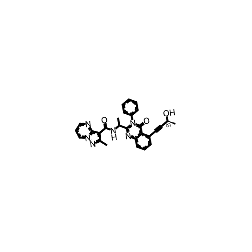 Cc1nn2cccnc2c1C(=O)NC(C)c1nc2cccc(C#C[C@H](C)O)c2c(=O)n1-c1ccccc1